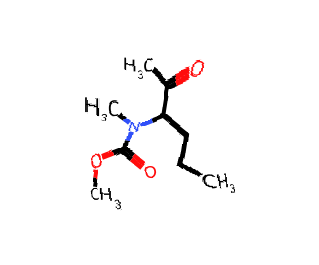 CCCC(C(C)=O)N(C)C(=O)OC